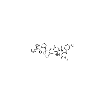 C[C@H](Nc1ncnc2cc(C(=O)N3CCC[C@H]3C(=O)N(C)C)c(Cl)cc12)c1nc2cc(Cl)ccc2[nH]1